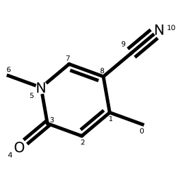 Cc1cc(=O)n(C)cc1C#N